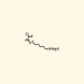 CCCCCCCCCCCCSSN(C)C(=O)F